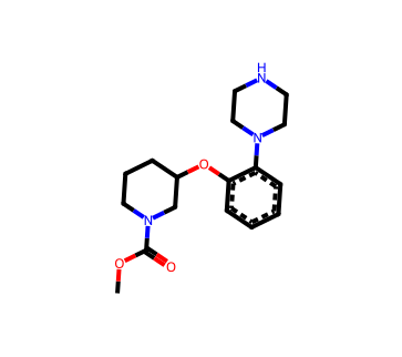 COC(=O)N1CCCC(Oc2ccccc2N2CCNCC2)C1